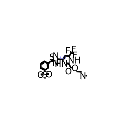 CN(C)CCOC(=O)CN/C(=C\C(=N)C(F)(F)F)c1nsc(-c2cccc(S(C)(=O)=O)c2)n1